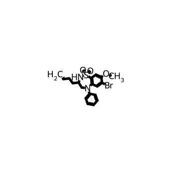 C=CCCC1CN(c2ccccc2)c2cc(Br)c(OC)cc2S(=O)(=O)N1